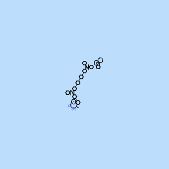 C=C1/C=C\C=C/COc2c1cccc2-c1ccc(N(c2ccccc2)c2ccc(-c3ccc(-c4ccc(-c5ccc(N(c6ccccc6)c6ccc(-c7cccc8c9c(oc78)C=CCC=C9)cc6)cc5)cc4)cc3)cc2)cc1